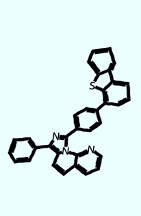 c1ccc(-c2nc(-c3ccc(-c4cccc5c4sc4ccccc45)cc3)n3c2ccc2cccnc23)cc1